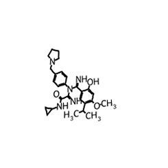 COc1cc(O)c(C(=N)N(C(=N)C(=O)NC2CC2)c2ccc(CN3CCCC3)cc2)cc1C(C)C